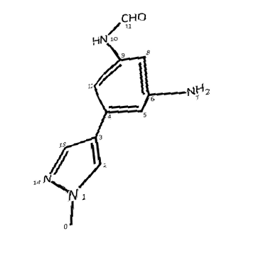 Cn1cc(-c2cc(N)cc(NC=O)c2)cn1